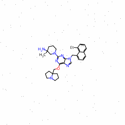 CCc1cccc2cccc(Cn3cnc4c(OCC56CCCN5CCC6)nc(N5CCCC(C)(N)C5)nc43)c12